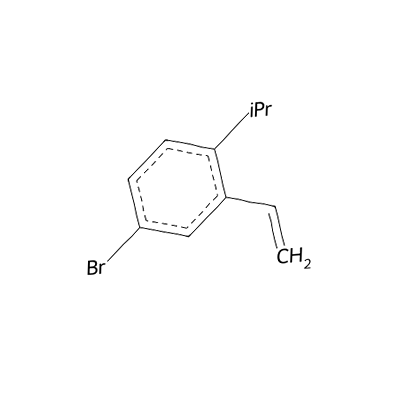 C=Cc1cc(Br)ccc1C(C)C